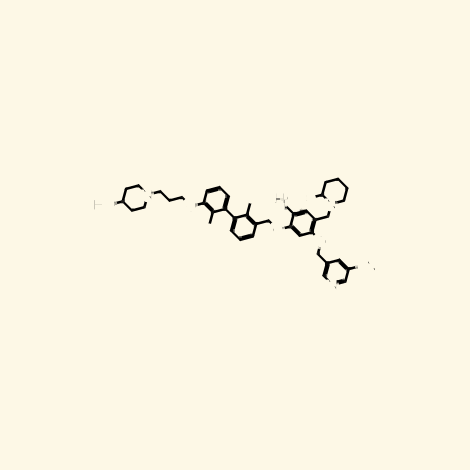 Cc1c(COc2cc(OCc3cncc(C#N)c3)c(CN3CCCCC3C(=O)O)cc2Cl)cccc1-c1cccc(OCCCN2CCC(O)CC2)c1C